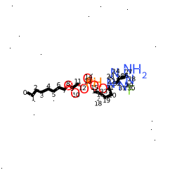 CCCCCCCCOC(=O)CO[PH](=O)OC[C@]1(C)CC[C@H](n2cnc3c(N)nc(F)nc32)O1